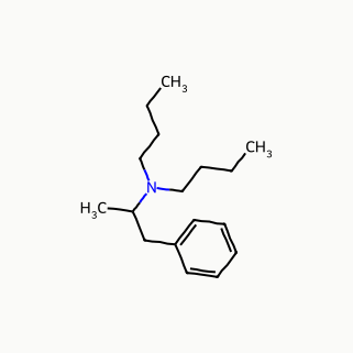 CCCCN(CCCC)C(C)Cc1ccccc1